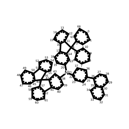 c1ccc(C2(c3ccccc3)c3ccccc3-c3ccc(N(c4ccc(-c5cccc6ccccc56)cc4)c4ccc5c(c4)C4(c6ccccc6-c6ccccc64)c4ccccc4-5)cc32)cc1